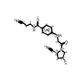 N#CCCNC(=O)C12CCC(NCC(=O)N3C[C@@H](F)C[C@H]3C#N)(CC1)CC2